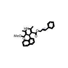 COC(=O)C1=C(C)NC(C)=C(C(=O)OC/C=C/c2ccccc2)C1c1cccc2ccccc12